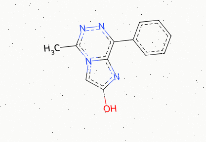 Cc1nnc(-c2ccccc2)c2nc(O)cn12